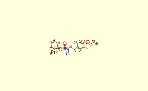 CC(C)c1ccccc1OC(=O)NCCc1ccc(OCCF)cc1